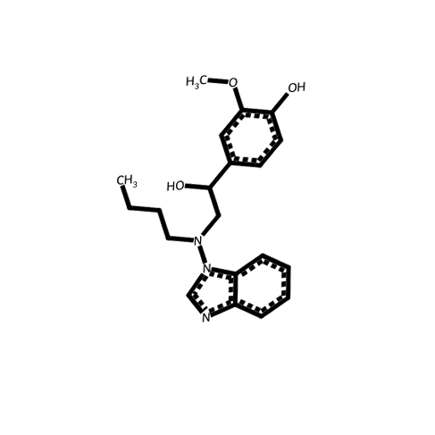 CCCCN(CC(O)c1ccc(O)c(OC)c1)n1cnc2ccccc21